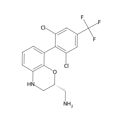 NC[C@@H]1CNc2cccc(-c3c(Cl)cc(C(F)(F)F)cc3Cl)c2O1